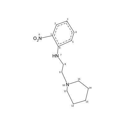 O=[N+]([O-])c1c[c]ccc1NCCN1CCCCC1